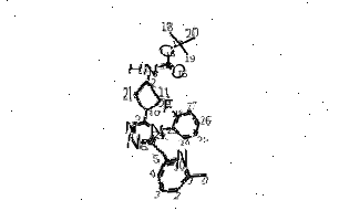 Cc1cccc(-c2nnc(C3CC(NC(=O)OC(C)(C)C)C3)n2-c2ccccc2F)n1